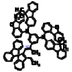 C=CC1=C(/C=C(\C)c2cc(N(c3ccc4c(c3)C(C)(C)c3ccccc3-4)c3cccc4oc5ccccc5c34)cc(N(c3ccc4c(c3)C(C)(C)c3ccccc3-4)c3cccc4oc5ccccc5c34)c2)C2(c3ccccc31)c1ccccc1-c1ccccc12